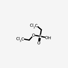 O=P(O)(CC(Cl)(Cl)Cl)OCC(Cl)(Cl)Cl